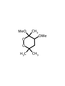 COC1CC(C)(C)OOC1(C)OC